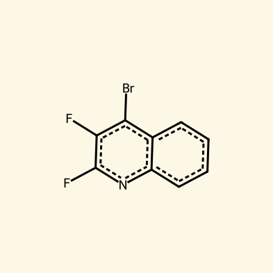 Fc1nc2ccccc2c(Br)c1F